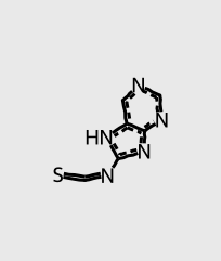 S=C=Nc1nc2ncncc2[nH]1